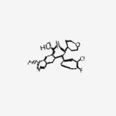 Oc1nc(C2CCOCC2)c(-c2ccc(F)c(Cl)c2)c2cc3cn[nH]c3cc12